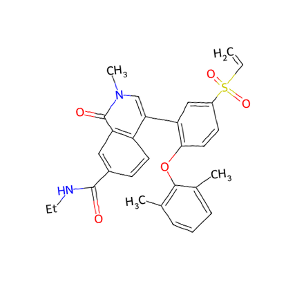 C=CS(=O)(=O)c1ccc(Oc2c(C)cccc2C)c(-c2cn(C)c(=O)c3cc(C(=O)NCC)ccc23)c1